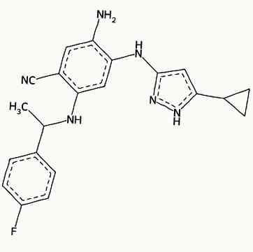 CC(Nc1cc(Nc2cc(C3CC3)[nH]n2)c(N)cc1C#N)c1ccc(F)cc1